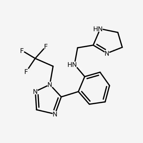 FC(F)(F)Cn1ncnc1-c1ccccc1NCC1=NCCN1